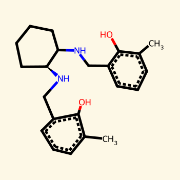 Cc1cccc(CNC2CCCC[C@@H]2NCc2cccc(C)c2O)c1O